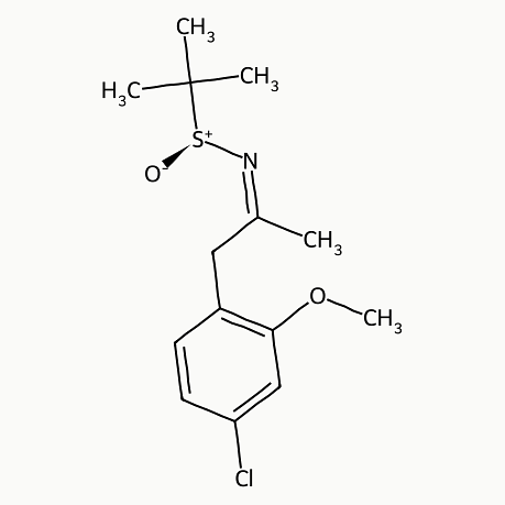 COc1cc(Cl)ccc1C/C(C)=N\[S@@+]([O-])C(C)(C)C